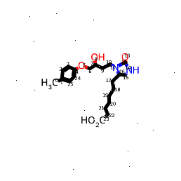 Cc1ccc(OCC(O)CCN2C(=O)NCC2CCCCCCC(=O)O)cc1